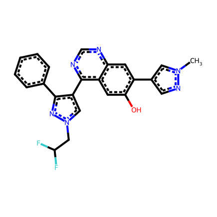 Cn1cc(-c2cc3ncnc(-c4cn(CC(F)F)nc4-c4ccccc4)c3cc2O)cn1